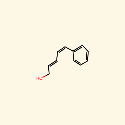 OC/C=C/C=C\c1ccccc1